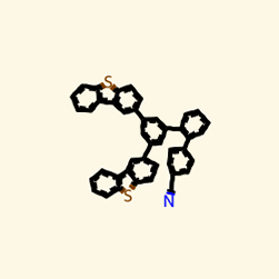 N#Cc1ccc(-c2ccccc2-c2cc(-c3ccc4sc5ccccc5c4c3)cc(-c3ccc4sc5ccccc5c4c3)c2)cc1